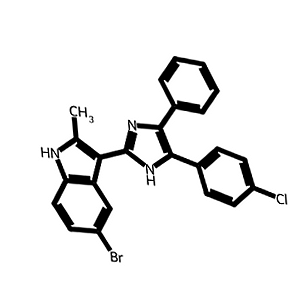 Cc1[nH]c2ccc(Br)cc2c1-c1nc(-c2ccccc2)c(-c2ccc(Cl)cc2)[nH]1